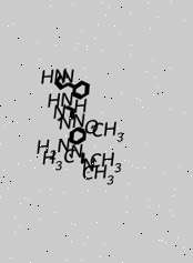 COc1cc(N(C)CCN(C)C)c(N)cc1Nc1cc(Nc2ccccc2-c2cc[nH]n2)ncn1